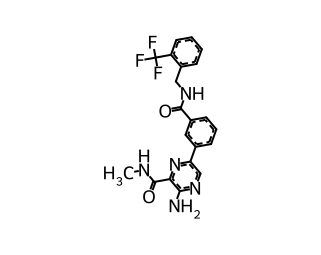 CNC(=O)c1nc(-c2cccc(C(=O)NCc3ccccc3C(F)(F)F)c2)cnc1N